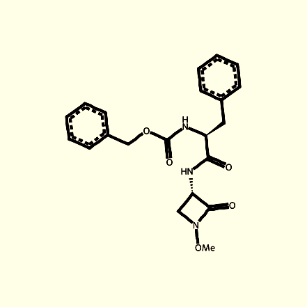 CON1C[C@H](NC(=O)[C@H](Cc2ccccc2)NC(=O)OCc2ccccc2)C1=O